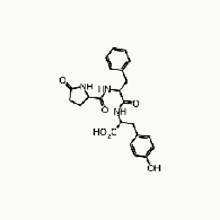 O=C1CCC(C(=O)N[C@@H](Cc2ccccc2)C(=O)N[C@@H](Cc2ccc(O)cc2)C(=O)O)N1